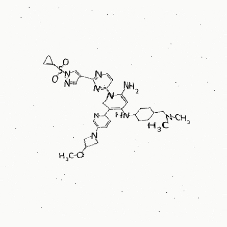 COC1CN(c2ccc(C3=C(NC4CCC(CN(C)C)CC4)C=C(N)N(c4ccnc(-c5cnn(S(=O)(=O)C6CC6)c5)n4)C3)nc2)C1